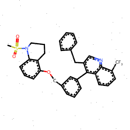 CS(=O)(=O)N1CCCc2c(OCc3cccc(-c4c(Cc5ccccc5)cnc5c(C(F)(F)F)cccc45)c3)cccc21